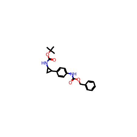 CC(C)(C)OC(=O)NC1CC1c1ccc(NC(=O)OCc2ccccc2)cc1